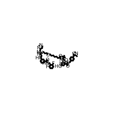 Cc1ncsc1-c1ccc(CNC(=O)C2C[C@@H](O)CN2C(=O)[C@@H](NC(=O)CCCCCCOCCCn2c(CNc3cccc(C(=O)NCc4c(F)cccc4F)c3)nnc2-c2ccncn2)C(C)(C)C)cc1